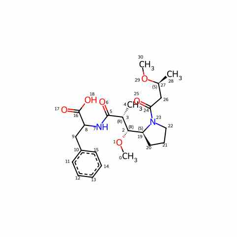 CO[C@H]([C@@H](C)C(=O)NC(Cc1ccccc1)C(=O)O)[C@@H]1CCCN1C(=O)C[C@H](C)OC